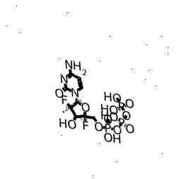 C[C@@]1(F)C(O)[C@@](F)(COP(=O)(O)OP(=O)(O)OP(=O)(O)O)O[C@H]1n1ccc(N)nc1=O